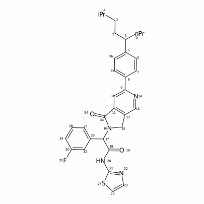 CCCC(CCC(C)C)c1ccc(-c2cc3c(cn2)CN(C(C(=O)Nc2nccs2)c2cccc(F)c2)C3=O)cc1